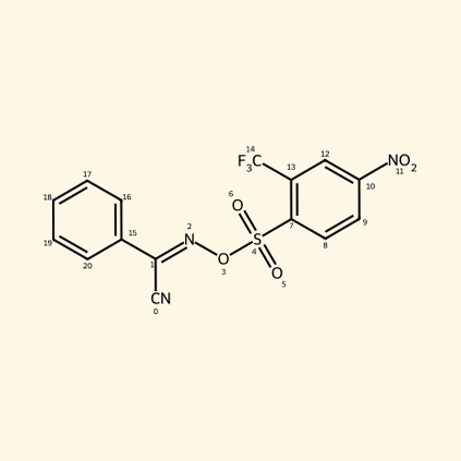 N#C/C(=N\OS(=O)(=O)c1ccc([N+](=O)[O-])cc1C(F)(F)F)c1ccccc1